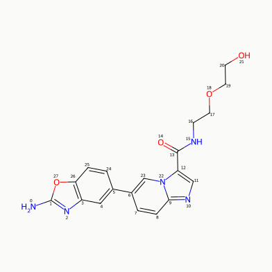 Nc1nc2cc(-c3ccc4ncc(C(=O)NCCOCCO)n4c3)ccc2o1